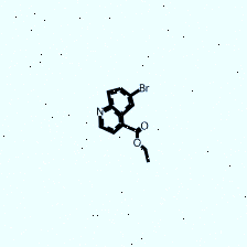 CCOC(=O)c1ccnc2ccc(Br)cc12